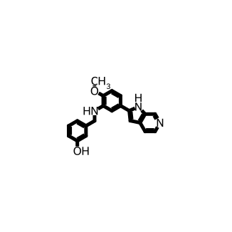 COc1ccc(-c2cc3ccncc3[nH]2)cc1NCc1cccc(O)c1